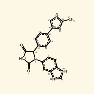 O=C1NC(=O)N(c2ccc3[nH]cnc3c2)C1c1ccc(-c2cnc(C(F)(F)F)s2)cc1